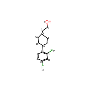 OCCC1CCC(c2ccc(F)cc2F)CC1